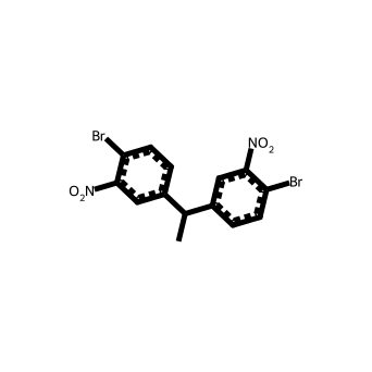 CC(c1ccc(Br)c([N+](=O)[O-])c1)c1ccc(Br)c([N+](=O)[O-])c1